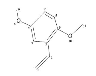 C=Cc1cc(OC)ccc1OC